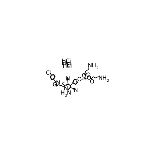 Cl.Cl.Cl.Cl.N#Cc1c(N)nc(SCc2coc(-c3ccc(Cl)cc3)n2)c(C#N)c1-c1ccc(OC[C@@H](COC(=O)CCCN)OC(=O)CCCN)cc1